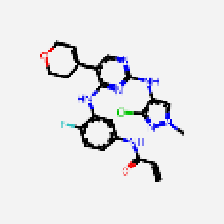 C=CC(=O)Nc1ccc(F)c(Nc2nc(Nc3cn(C)nc3Cl)ncc2C2=CCOCC2)c1